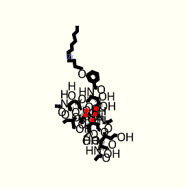 CCCCCC/C=C\CCCOc1cccc(C(=O)N[C@@H]2C(O[C@H]3C(O)C(NC(C)=O)[C@H](OC(C)C(CO)O[C@@H](O[C@H]4C(O)C(NC(C)=O)C(OC5C(CO)OC(O)[C@@H](NC(C)=O)[C@H]5O)O[C@H]4CO)[C@H](O)NC(C)=O)O[C@H]3CO)OC(CO)[C@@H](O)[C@@H]2O)c1